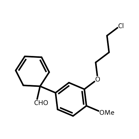 COc1ccc(C2(C=O)C=CC=CC2)cc1OCCCCl